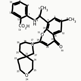 Cc1cc(C(C)Nc2ccccc2C(=O)O)c2oc(N3CCCC4(CCOCC4)C3)cc(=O)c2c1